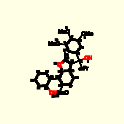 CCCC(O)(c1cc(OC)c(OC)c(OC)c1)c1c(C)oc2c(-c3ccccc3O)c(OC)ccc12